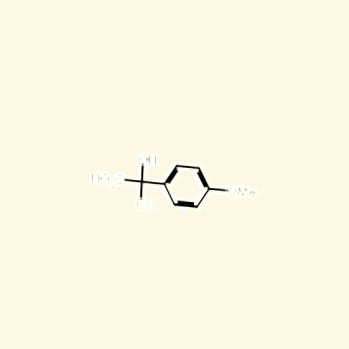 COc1ccc(C(O)(O)C(=O)O)cc1